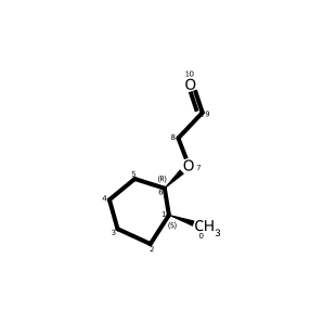 C[C@H]1CCCC[C@H]1OC[C]=O